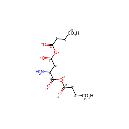 NC(CC(=O)OC(=O)CCC(=O)O)C(=O)OC(=O)CCC(=O)O